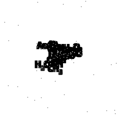 CC(=O)c1ccc2c(c1)[C@H]1[C@H](C[C@@H]3CC(C)(C)O[C@@H]31)[C@H](c1cc3c(cc1Br)OCO3)N2